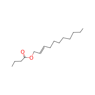 CCCCCCCCC=CCOC(=O)CCC